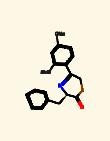 COc1ccc(C2=N[C@@H](Cc3ccccc3)C(=O)SC2)c(OC)c1